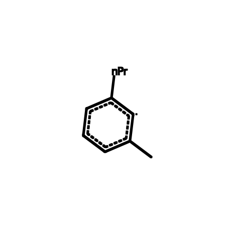 CCCc1[c]c(C)ccc1